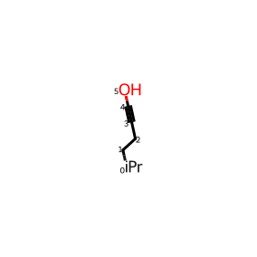 CC(C)CCC#CO